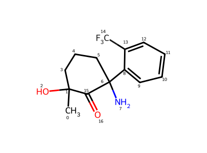 CC1(O)CCCC(N)(c2ccccc2C(F)(F)F)C1=O